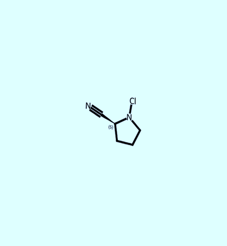 N#C[C@@H]1CCCN1Cl